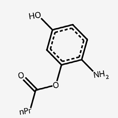 CCCC(=O)Oc1cc(O)ccc1N